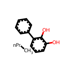 CCCC.Oc1cccc(-c2ccccc2)c1O